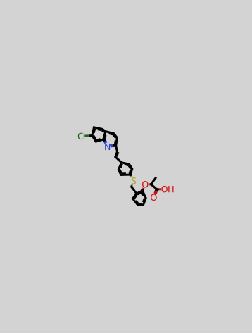 CC(Oc1ccccc1CSc1ccc(C=Cc2ccc3ccc(Cl)cc3n2)cc1)C(=O)O